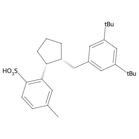 Cc1ccc(S(=O)(=O)O)c([C@@H]2CCC[C@@H]2Cc2cc(C(C)(C)C)cc(C(C)(C)C)c2)c1